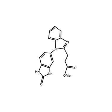 COC(=O)CCc1nc2ccccc2n1-c1ccc2[nH]c(=O)[nH]c2c1